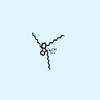 CCCCCCCCCc1ccccc1C(CCCCCCCCC)(OP(O)O)c1ccccc1CCCCCCCCC